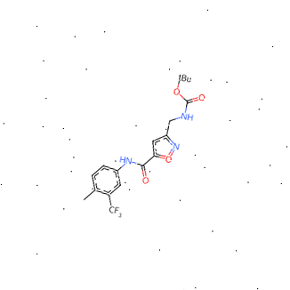 Cc1ccc(NC(=O)c2cc(CNC(=O)OC(C)(C)C)no2)cc1C(F)(F)F